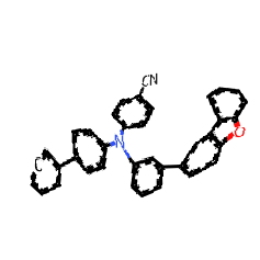 N#Cc1ccc(N(c2ccc(-c3ccccc3)cc2)c2cccc(-c3ccc4oc5ccccc5c4c3)c2)cc1